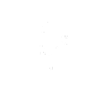 COC(=O)COc1c(-c2cccc(Oc3ccccc3)c2)c(=O)[nH]c2cc(Cl)ccc12